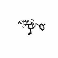 C=Cc1cc(C(=O)NC)c(=O)n(Cc2cccc(C)c2)c1